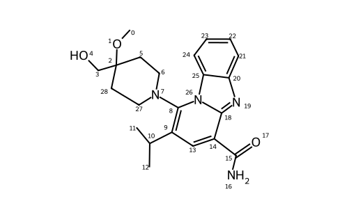 COC1(CO)CCN(c2c(C(C)C)cc(C(N)=O)c3nc4ccccc4n23)CC1